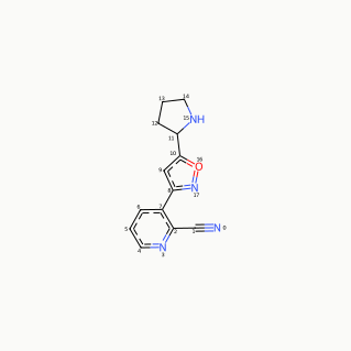 N#Cc1ncccc1-c1cc(C2CCCN2)on1